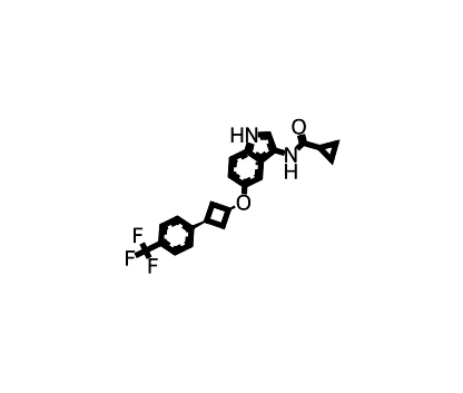 O=C(Nc1c[nH]c2ccc(O[C@H]3C[C@H](c4ccc(C(F)(F)F)cc4)C3)cc12)C1CC1